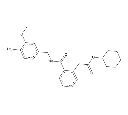 COc1cc(CNC(=O)c2ccccc2CC(=O)OC2CCCCC2)ccc1O